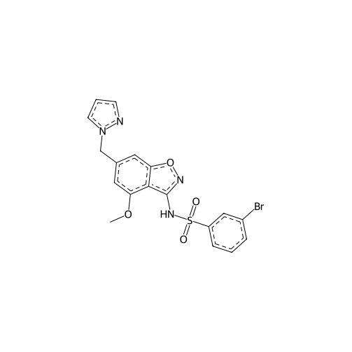 COc1cc(Cn2cccn2)cc2onc(NS(=O)(=O)c3cccc(Br)c3)c12